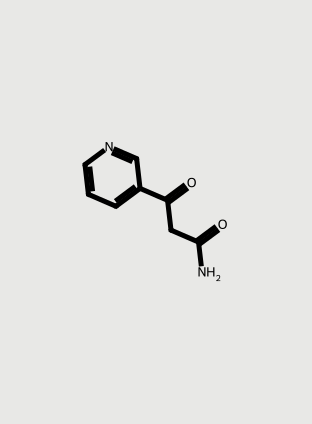 NC(=O)CC(=O)c1cccnc1